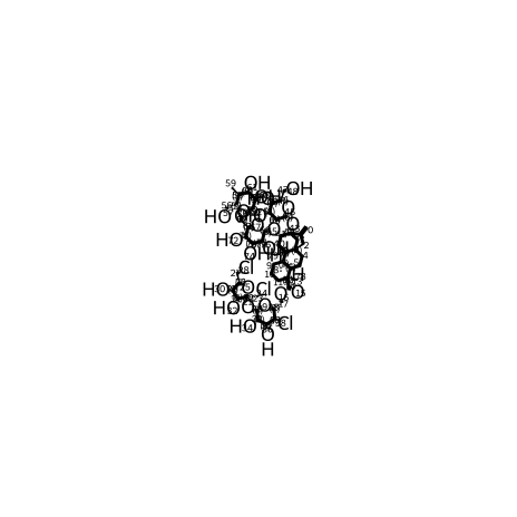 C=C1C[C@@]23CC[C@H]4[C@@](C)(CCC[C@@]4(C)C(=O)OC[C@H]4O[C@H](O[C@]5(CCl)O[C@H](CCl)[C@@H](O)[C@@H]5O)[C@H](O)[C@@H](O)[C@H]4Cl)[C@@H]2CC[C@]1(O[C@@H]1O[C@H](CO)[C@@H](O)[C@H](O[C@@H]2O[C@H](CO)[C@@H](C)[C@H](O)[C@H]2O)[C@H]1O[C@@H]1O[C@H](CO)[C@@H](O)[C@H](O)[C@H]1O)C3